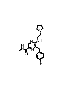 CNC(=O)c1cnc(NCCN2CCCC2)c(Cc2ccc(F)cc2)n1